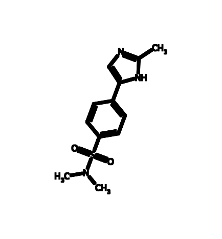 Cc1ncc(-c2ccc(S(=O)(=O)N(C)C)cc2)[nH]1